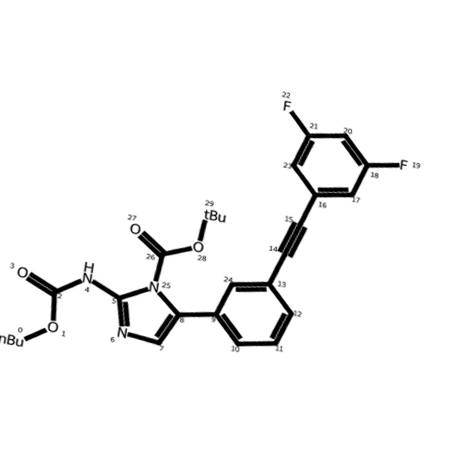 CCCCOC(=O)Nc1ncc(-c2cccc(C#Cc3cc(F)cc(F)c3)c2)n1C(=O)OC(C)(C)C